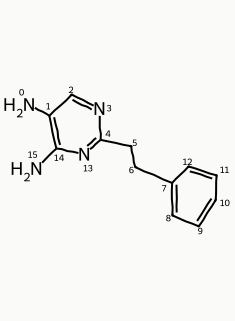 Nc1cnc(CCc2ccccc2)nc1N